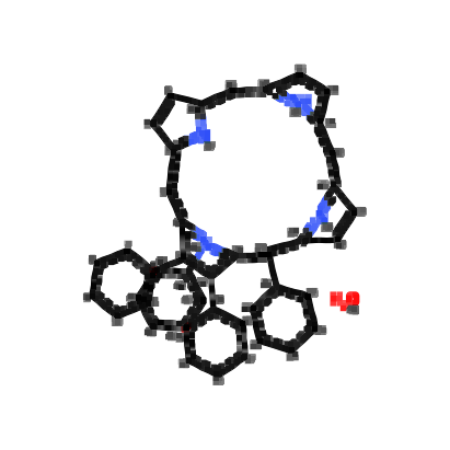 C1=Cc2cc3c(-c4ccccc4)c(-c4ccccc4)c(c(-c4ccccc4)c4nc(cc5ccc(cc1n2)[nH]5)C=C4)n3-c1ccccc1.O